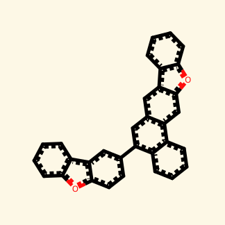 c1ccc2c(c1)oc1ccc(-c3cc4cc5c(cc4c4ccccc34)oc3ccccc35)cc12